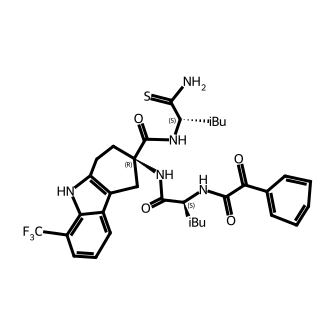 CCC(C)[C@H](NC(=O)C(=O)c1ccccc1)C(=O)N[C@]1(C(=O)N[C@H](C(N)=S)C(C)CC)CCc2[nH]c3c(C(F)(F)F)cccc3c2C1